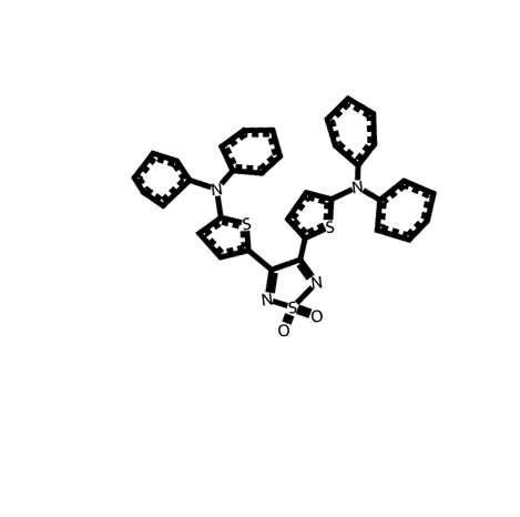 O=S1(=O)N=C(c2ccc(N(c3ccccc3)c3ccccc3)s2)C(c2ccc(N(c3ccccc3)c3ccccc3)s2)=N1